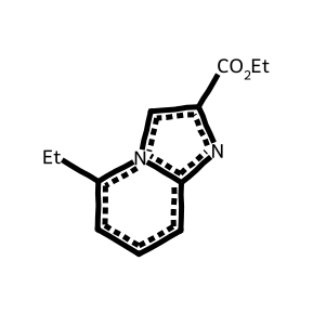 CCOC(=O)c1cn2c(CC)cccc2n1